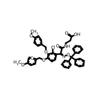 COc1ccc(COc2ccc(/C(=N/OC(c3ccccc3)(c3ccccc3)c3ccccc3)C(=O)NCCC(=O)O)c(Cl)c2OCc2ccc(OC)cc2)cc1